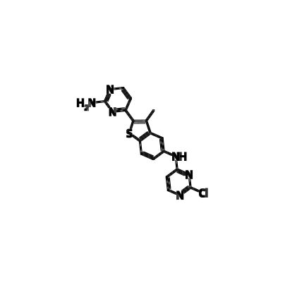 Cc1c(-c2ccnc(N)n2)sc2ccc(Nc3ccnc(Cl)n3)cc12